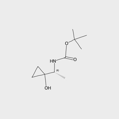 C[C@@H](NC(=O)OC(C)(C)C)C1(O)CC1